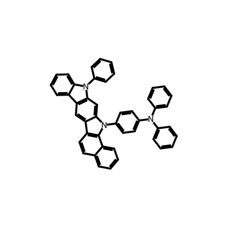 c1ccc(N(c2ccccc2)c2ccc(-n3c4cc5c(cc4c4ccc6ccccc6c43)c3ccccc3n5-c3ccccc3)cc2)cc1